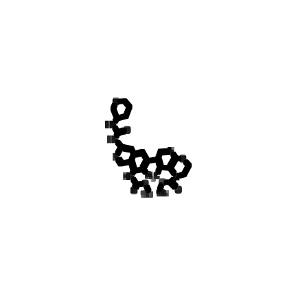 Cc1c(-c2cc3cc(NC(=O)NC4CCCOC4)ncc3c(NC(=O)OC(C)(C)C)c2F)cnc2c1N(C(=O)OC(C)(C)C)CCO2